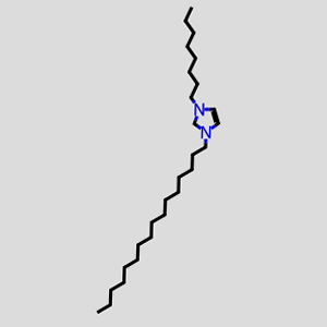 CCCCCCCCCCCCCCCCN1C=CN(CCCCCCCC)C1